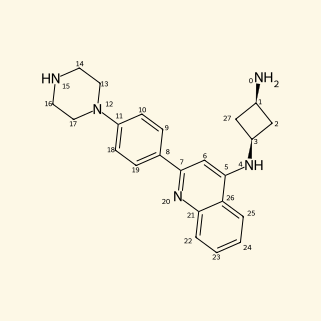 N[C@H]1C[C@@H](Nc2cc(-c3ccc(N4CCNCC4)cc3)nc3ccccc23)C1